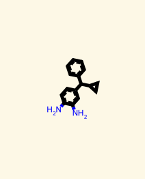 Nc1ccc(C(c2ccccc2)C2CC2)cc1N